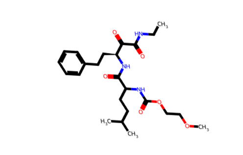 CCNC(=O)C(=O)[C@H](CCc1ccccc1)NC(=O)C(CCC(C)C)NC(=O)OCCOC